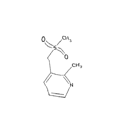 Cc1ncccc1CS(C)(=O)=O